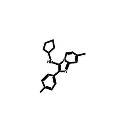 Cc1ccc(-c2nc3cc(C)ccn3c2NC2CCCC2)cc1